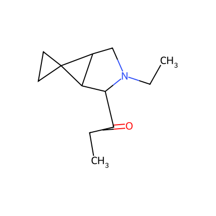 CCC(=O)C1C2C(CN1CC)C21CC1